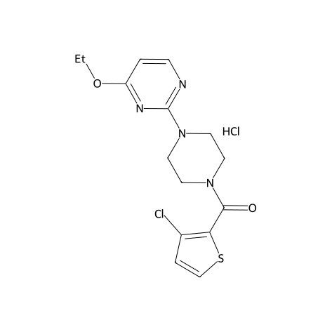 CCOc1ccnc(N2CCN(C(=O)c3sccc3Cl)CC2)n1.Cl